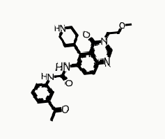 COCCn1cnc2ccc(NC(=O)Nc3cccc(C(C)=O)c3)c(C3CCNCC3)c2c1=O